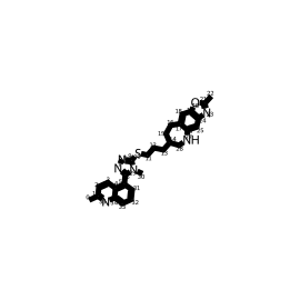 Cc1ccc2c(-c3nnc(SCCCC4CCc5cc6oc(C)nc6cc5NC4)n3C)cccc2n1